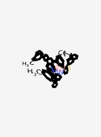 Cc1cc(-c2c(Nc3ccc(-c4ccccc4)cc3)ccc3sc4cc5ccccc5cc4c23)c2c(c1)C1Cc3ccc(C45CC(C)CC6CC(C4)C65)cc3-c3cc(C45CC(C)CC6CC(C4)C65)cc(c31)B2